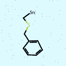 [Sn][CH2]SCc1ccccc1